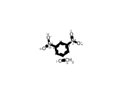 C=O.O=[N+]([O-])c1cccc([N+](=O)[O-])c1